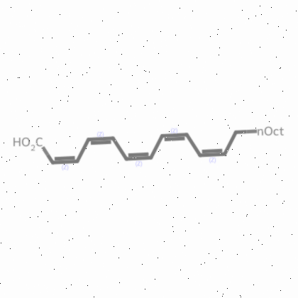 CCCCCCCCC\C=C/C=C\C=C/C=C\C=C/C(=O)O